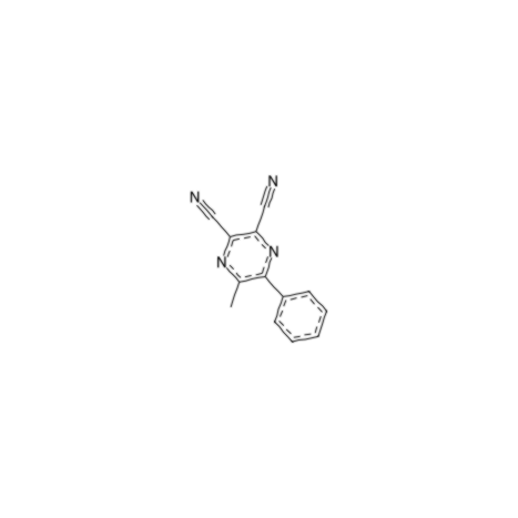 Cc1nc(C#N)c(C#N)nc1-c1ccccc1